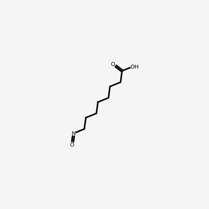 O=NCCCCCCCC(=O)O